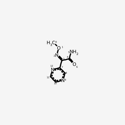 CON=C(C(N)=O)c1cnccn1